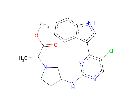 COC(=O)[C@@H](C)N1CCC(Nc2ncc(Cl)c(-c3c[nH]c4ccccc34)n2)C1